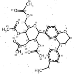 CCc1ccc(C2CCOc3ccc(C4OC(COC(C)=O)C(OC(C)=O)C(OC(C)=O)C4OC(C)=O)cc32)cc1